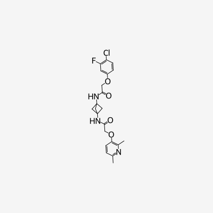 Cc1ccc(OCC(=O)NC23CC(NC(=O)COc4ccc(Cl)c(F)c4)(C2)C3)c(C)n1